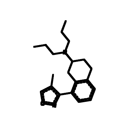 CCCN(CCC)C1CCc2cccc(-c3nocc3C)c2C1